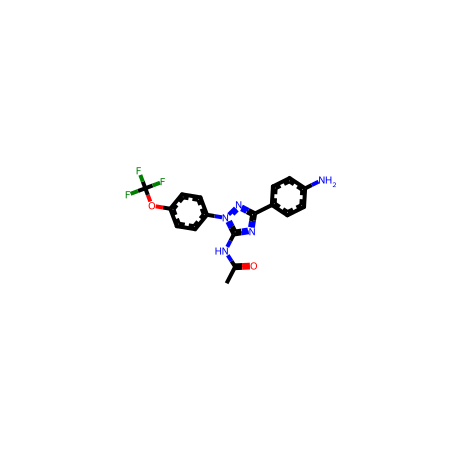 CC(=O)Nc1nc(-c2ccc(N)cc2)nn1-c1ccc(OC(F)(F)F)cc1